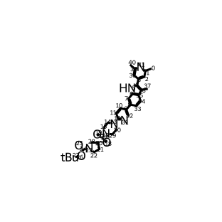 Cc1cc(-c2[nH]c3cc(-c4ccc(N5CCN(S(=O)(=O)C6CCN(C(=O)OC(C)(C)C)C6)CC5)nc4)ccc3c2C)cc(C)n1